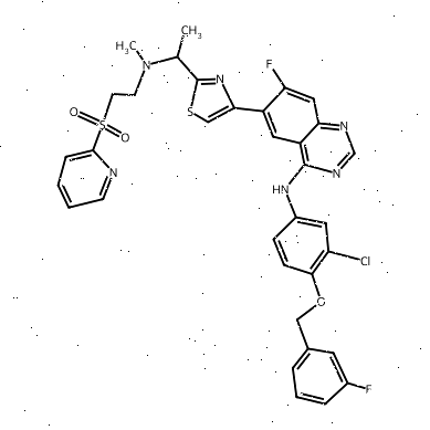 CC(c1nc(-c2cc3c(Nc4ccc(OCc5cccc(F)c5)c(Cl)c4)ncnc3cc2F)cs1)N(C)CCS(=O)(=O)c1ccccn1